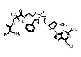 CCOc1nc(N)nc2c1ncn2[C@@H]1O[C@H](COP(=O)(NCc2ccccc2)OCCSC(=O)C(C)(C)COC(=O)C(N)C(C)C)C[C@@H]1C